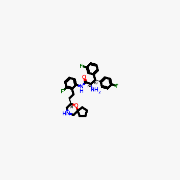 N[C@H](C(=O)Nc1cccc(F)c1CC[C@@H]1CNCC2(CCCC2)O1)[C@@H](c1ccc(F)cc1)c1cccc(F)c1